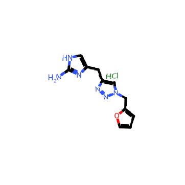 Cl.Nc1nc(Cc2cn(Cc3ccco3)nn2)c[nH]1